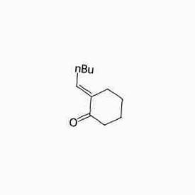 CCCCC=C1CCCCC1=O